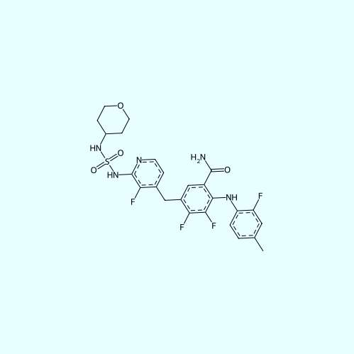 Cc1ccc(Nc2c(C(N)=O)cc(Cc3ccnc(NS(=O)(=O)NC4CCOCC4)c3F)c(F)c2F)c(F)c1